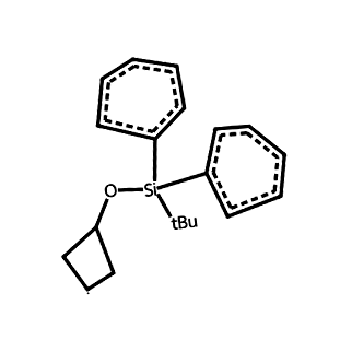 CC(C)(C)[Si](OC1C[CH]C1)(c1ccccc1)c1ccccc1